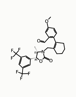 COc1ccc(C2=C(CN3C(=O)O[C@H](c4cc(C(F)(F)F)cc(C(F)(F)F)c4)[C@@H]3C)CCCC2)c(C=O)c1